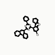 Clc1cc(-c2nc(-c3ccccc3)nc(-c3cc4ccccc4c4ccccc34)n2)c2c(c1)oc1ccccc12